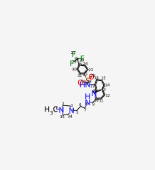 CN1CCN(CCCNCc2ccc3cccc(NS(=O)(=O)c4ccc(C(F)(F)F)cc4)c3n2)CC1